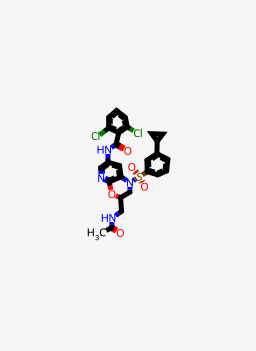 CC(=O)NCC1CN(S(=O)(=O)c2cccc(C3CC3)c2)c2cc(NC(=O)c3c(Cl)cccc3Cl)cnc2O1